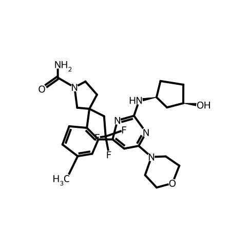 Cc1ccc(C2(CC(F)(F)F)CCN(C(N)=O)C2)c(-c2cc(N3CCOCC3)nc(N[C@H]3CC[C@@H](O)C3)n2)c1